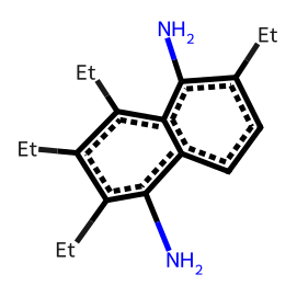 CCc1ccc2c(N)c(CC)c(CC)c(CC)c2c1N